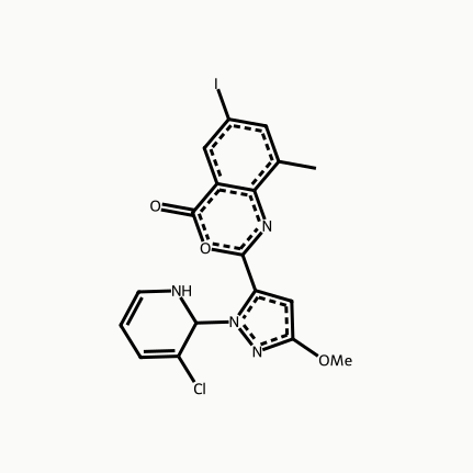 COc1cc(-c2nc3c(C)cc(I)cc3c(=O)o2)n(C2NC=CC=C2Cl)n1